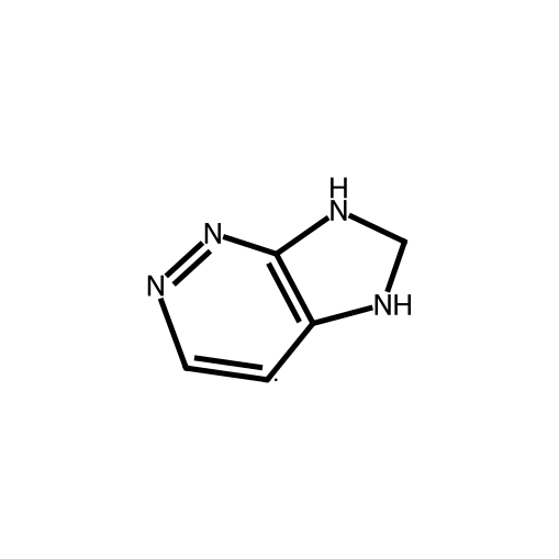 [c]1cnnc2c1NCN2